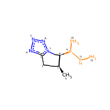 C[C@H]1Cc2nnnn2[C@H]1P(P)PP